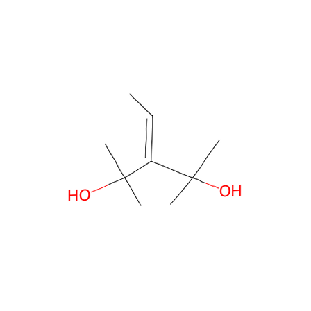 CC=C(C(C)(C)O)C(C)(C)O